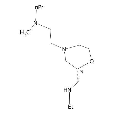 CCCN(C)CCN1CCO[C@H](CNCC)C1